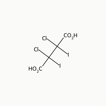 O=C(O)C(Cl)(I)C(Cl)(I)C(=O)O